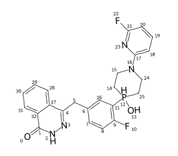 O=c1[nH]nc(Cc2ccc(F)c([PH]3(O)CCN(c4cccc(F)n4)CC3)c2)c2ccccc12